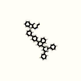 C=C/C=C\c1c(C)c2ccccc2n1-c1cccc(-c2ccc(-c3ccc(-c4cc(-c5ccccc5)nc(-c5ccccc5)n4)c4ccccc34)cc2)c1